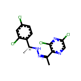 C/C(=N/N[C@H](C)c1ccc(Cl)cc1Cl)c1ncc(Cl)nc1Cl